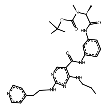 CCCNc1nc(NCCc2ccncc2)ncc1C(=O)Nc1cccc(NC(=O)[C@H](C)N(C)C(=O)OC(C)(C)C)c1